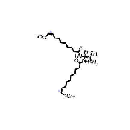 CCCCCCCC/C=C\CCCCCCCC(=O)NC(CC)(NC(=O)CCCCCCC/C=C\CCCCCCCC)N(C)C